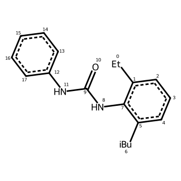 CCc1cccc(C(C)CC)c1NC(=O)Nc1ccccc1